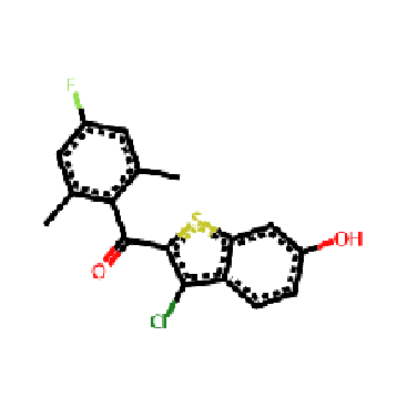 Cc1cc(F)cc(C)c1C(=O)c1sc2cc(O)ccc2c1Cl